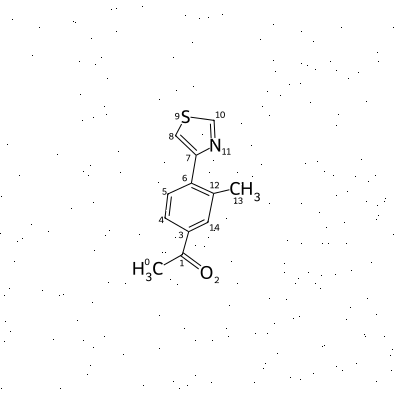 CC(=O)c1ccc(-c2cscn2)c(C)c1